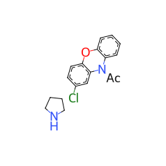 C1CCNC1.CC(=O)N1c2ccccc2Oc2ccc(Cl)cc21